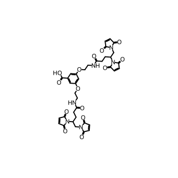 O=C(CCC(CN1C(=O)C=CC1=O)N1C(=O)C=CC1=O)NCCOc1cc(OCCNC(=O)CCC(CN2C(=O)C=CC2=O)N2C(=O)C=CC2=O)cc(C(=O)O)c1